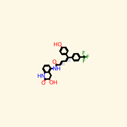 O=C(/C=C/C=C(\c1ccc(O)cc1)c1ccc(C(F)(F)F)cc1)Nc1cccc2c1CC(O)C(=O)N2